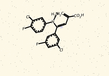 C=C(/C=C(/c1cc(F)cc(Cl)c1)N(N)c1ccc(F)c(Cl)c1)C(=O)O